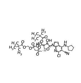 CC(C)(C)C(=O)OCOP(=O)(CS(=O)(=O)C[C@H]1O[C@H](n2ccc3c(NC4CCCC4)c(C#N)c(Cl)nc32)[C@H](O)[C@@H]1O)OCOC(=O)C(C)(C)C